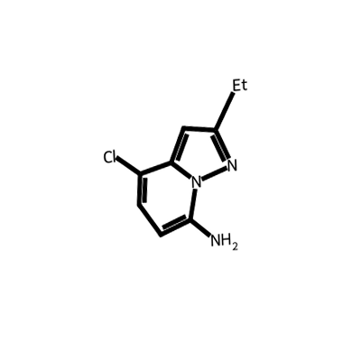 CCc1cc2c(Cl)ccc(N)n2n1